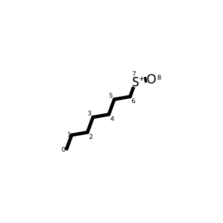 CCCCCCC[S+]=O